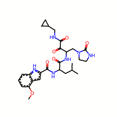 COc1cccc2[nH]c(C(=O)NC(CC(C)C)C(=O)NC(CN3CCNC3=O)C(=O)C(=O)NCC3CC3)cc12